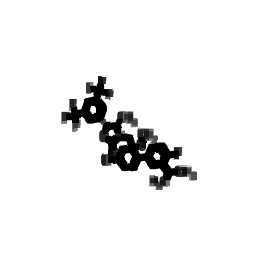 COC1(CN2C(=O)O[C@H](c3cc(C(F)(F)F)cc(C(F)(F)F)c3)[C@@H]2C)CC(Cl)=CC=C1c1ccc(F)c(C(C)C)c1